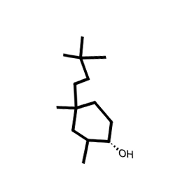 CC1CC(C)(CCC(C)(C)C)CC[C@@H]1O